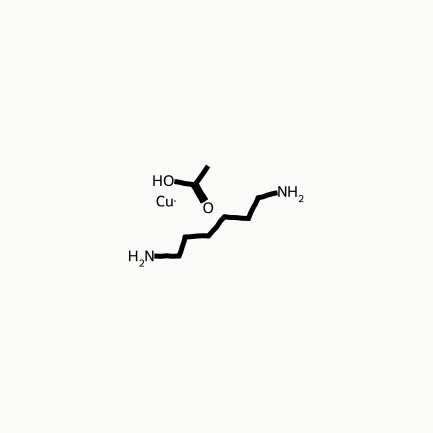 CC(=O)O.NCCCCCCN.[Cu]